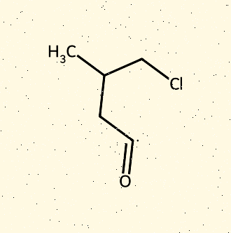 CC(CCl)C[C]=O